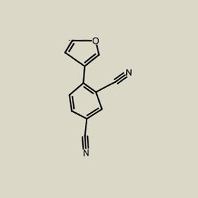 N#Cc1ccc(-c2c[c]oc2)c(C#N)c1